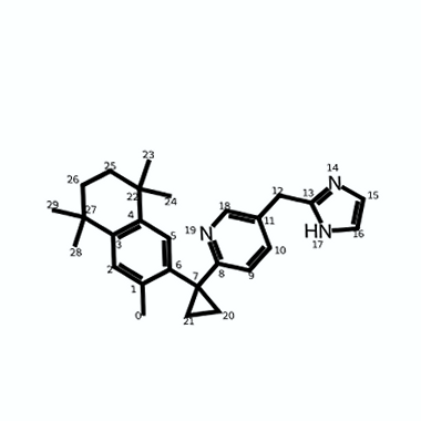 Cc1cc2c(cc1C1(c3ccc(Cc4ncc[nH]4)cn3)CC1)C(C)(C)CCC2(C)C